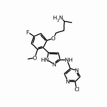 COc1cc(F)cc(OCCC(C)N)c1-c1cc(Nc2cnc(Cl)cn2)n[nH]1